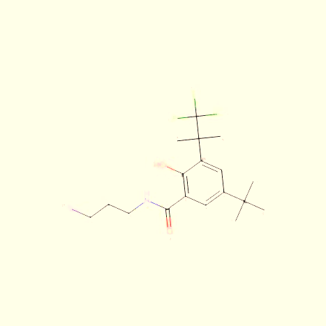 CC(C)(C)c1cc(C(=O)NCCCI)c(O)c(C(C)(C)C(F)(F)F)c1